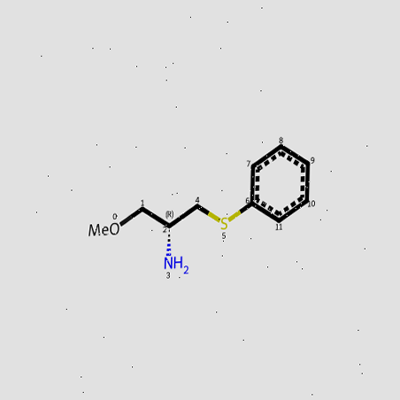 COC[C@@H](N)CSc1ccccc1